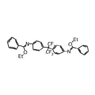 CCO/C(=N\c1ccc(C(c2ccc(/N=C(\OCC)c3ccccc3)cc2)(C(F)(F)F)C(F)(F)F)cc1)c1ccccc1